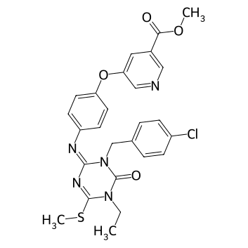 CCn1c(SC)nc(=Nc2ccc(Oc3cncc(C(=O)OC)c3)cc2)n(Cc2ccc(Cl)cc2)c1=O